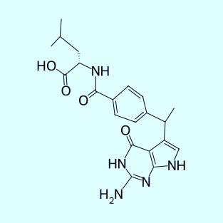 CC(C)C[C@H](NC(=O)c1ccc(C(C)c2c[nH]c3nc(N)[nH]c(=O)c23)cc1)C(=O)O